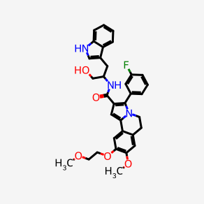 COCCOc1cc2c(cc1OC)CCn1c-2cc(C(=O)NC(CO)Cc2c[nH]c3ccccc23)c1-c1cccc(F)c1